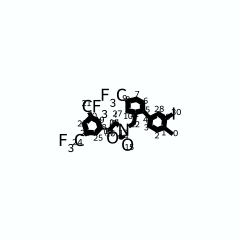 Cc1ccc(-c2ccc(C(F)(F)F)cc2CN2C(=O)O[C@H](c3cc(C(F)(F)F)cc(C(F)(F)F)c3)[C@@H]2C)cc1I